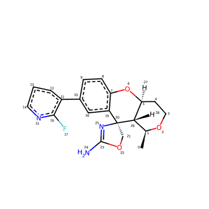 C[C@@H]1OCC[C@@H]2Oc3ccc(-c4cccnc4F)cc3[C@@]3(COC(N)=N3)[C@@H]12